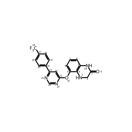 O=C1CNc2c(cccc2Oc2cc(-c3ccc(C(F)(F)F)cc3)ncn2)N1